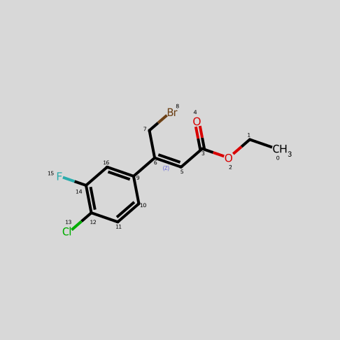 CCOC(=O)/C=C(\CBr)c1ccc(Cl)c(F)c1